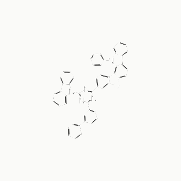 c1ccc(-c2cccc(-c3nc(-c4ccc5c(c4)oc4ccc6c7ccccc7n(-c7ccccc7)c6c45)nc(-n4c5ccccc5c5ccccc54)n3)c2)cc1